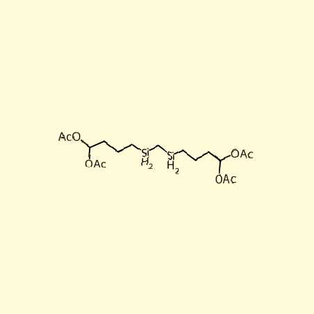 CC(=O)OC(CCC[SiH2]C[SiH2]CCCC(OC(C)=O)OC(C)=O)OC(C)=O